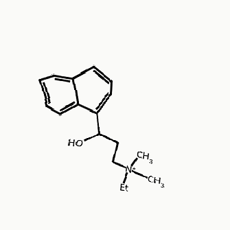 CC[N+](C)(C)CCC(O)c1cccc2ccccc12